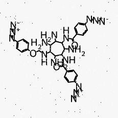 [N-]=[N+]=Nc1ccc(OCNC2C(N)C(N)C(NC(=O)c3ccc(N=[N+]=[N-])cc3)C(N)C(NC(=O)c3ccc(N=[N+]=[N-])cc3)C2N)cc1